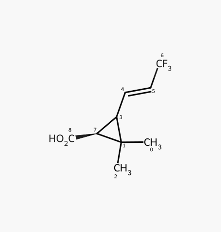 CC1(C)C(C=CC(F)(F)F)[C@@H]1C(=O)O